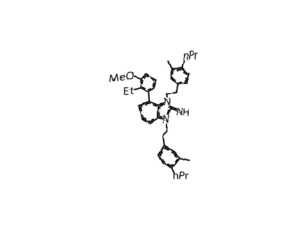 CCCc1ccc(CCn2c(=N)n(CCc3ccc(CCC)c(C)c3)c3c(-c4cccc(OC)c4CC)cccc32)cc1C